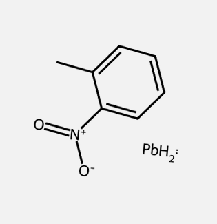 Cc1ccccc1[N+](=O)[O-].[PbH2]